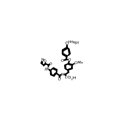 CCCCCCCOc1ccc(C(=O)Oc2ccc(CC(NC(=O)c3ccc(NC(=O)c4ccno4)cc3)C(=O)O)cc2OC)cc1